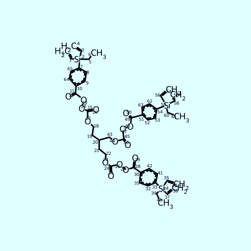 C=C[Si](C=C)(CC)c1ccc(C(=O)OOC(=O)OCCC(CCOC(=O)OOC(=O)c2ccc([Si](C=C)(C=C)CC)cc2)COC(=O)OOC(=O)c2ccc([Si](C=C)(C=C)CC)cc2)cc1